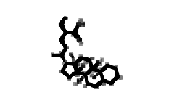 CCC(CCC(C)[C@H]1CC[C@H]2[C@@H]3CCC4CCCC[C@]4(C)[C@H]3CC[C@]12C)C(=O)O